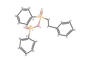 O=[PH](OP(=O)(CCc1ccccc1)c1ccccc1)c1ccccc1